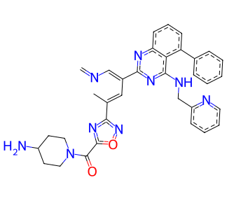 C=N/C=C(\C=C(/C)c1noc(C(=O)N2CCC(N)CC2)n1)c1nc(NCc2ccccn2)c2c(-c3ccccc3)cccc2n1